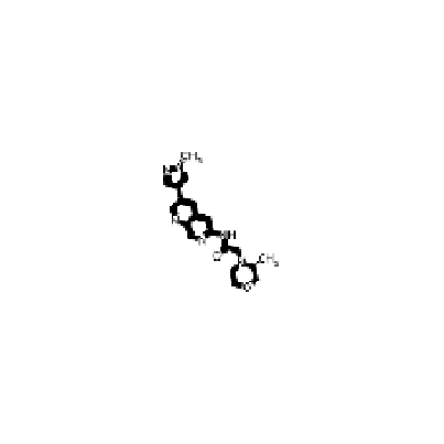 C[C@@H]1COCCN1CC(=O)Nc1cc2cc(-c3cnn(C)c3)cnc2cn1